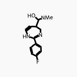 CNC(O)C1C#CNC(c2ccc(F)cc2)=NC1